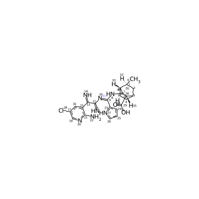 C[C@H]1CC2CC[C@H]1[C@H](N/C(=N/C(=N)C(=N)c1cc(Cl)cnc1N)c1ccc[nH]1)[C@H]2C(=O)O